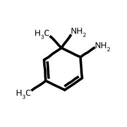 CC1=CC(C)(N)C(N)C=C1